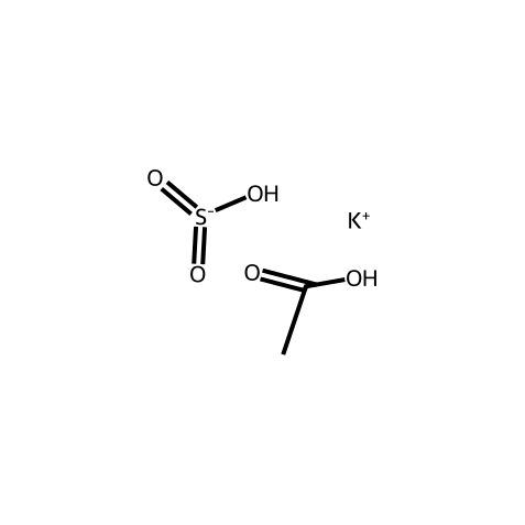 CC(=O)O.O=[S-](=O)O.[K+]